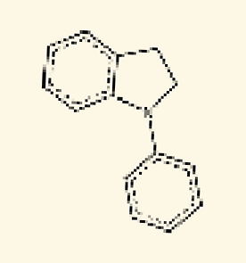 c1ccc(N2CCc3ccccc32)cc1